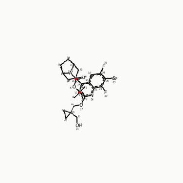 CC(C)(C)OC(=O)N1C2CCC1CN(c1nc(OCC3(CO)CC3)nc3c(F)c(Br)c(F)cc13)C2